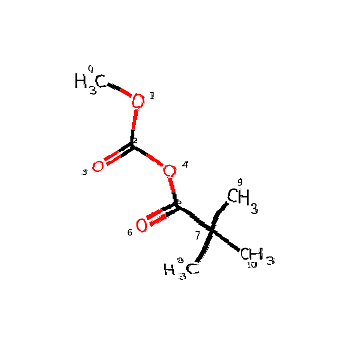 COC(=O)OC(=O)C(C)(C)C